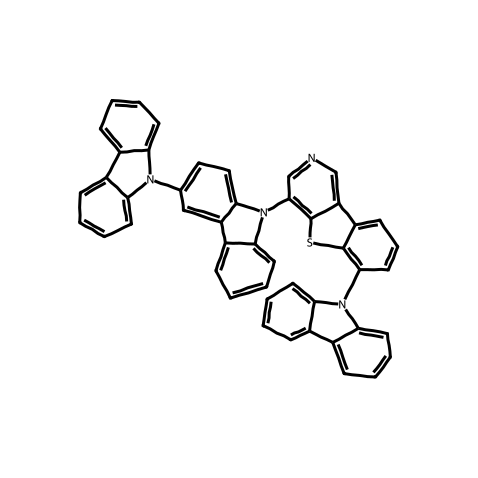 c1cc(-n2c3ccccc3c3ccccc32)c2sc3c(-n4c5ccccc5c5cc(-n6c7ccccc7c7ccccc76)ccc54)cncc3c2c1